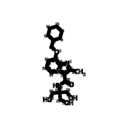 Cc1nc2c(OCC3CCCCC3)cccn2c1C(=O)NC(CO)(CO)CO